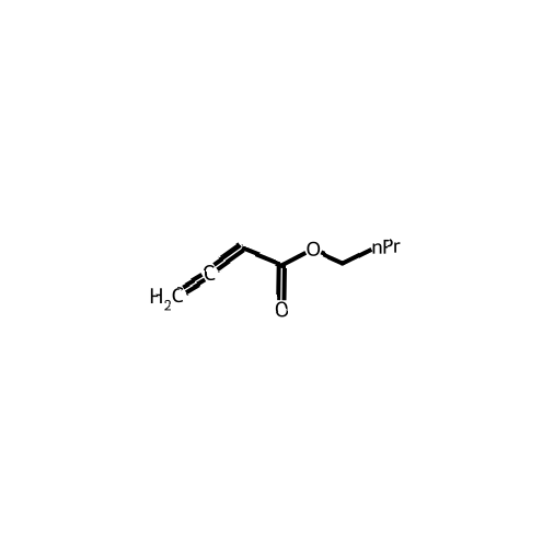 C=C=CC(=O)OCCCC